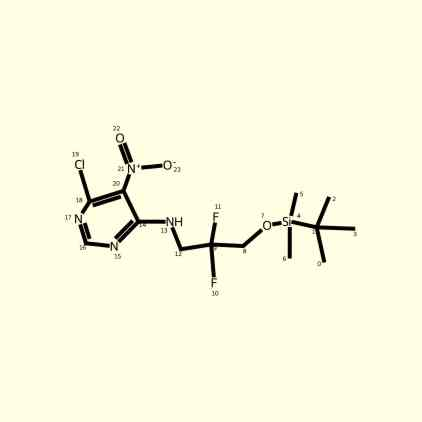 CC(C)(C)[Si](C)(C)OCC(F)(F)CNc1ncnc(Cl)c1[N+](=O)[O-]